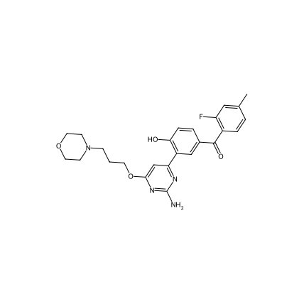 Cc1ccc(C(=O)c2ccc(O)c(-c3cc(OCCCN4CCOCC4)nc(N)n3)c2)c(F)c1